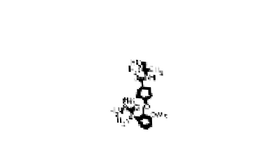 COc1cccc(N(N)C(=O)N(C)N)c1COc1ccc(C(=O)NC(C)(C)CO)cc1C